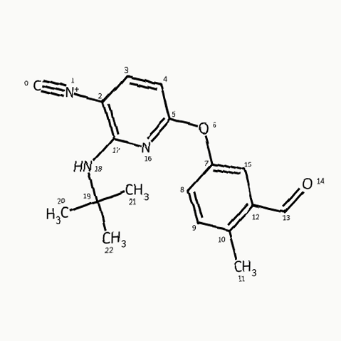 [C-]#[N+]c1ccc(Oc2ccc(C)c(C=O)c2)nc1NC(C)(C)C